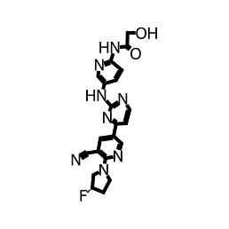 N#Cc1cc(-c2ccnc(Nc3ccc(NC(=O)CO)nc3)n2)cnc1N1CC[C@H](F)C1